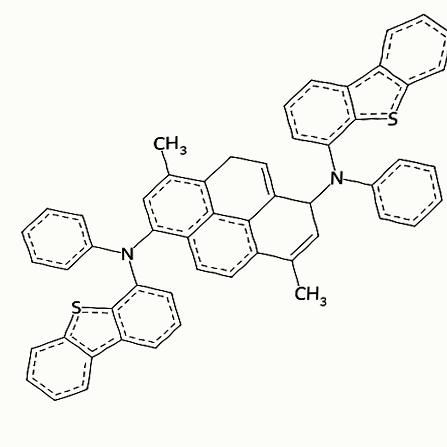 CC1=CC(N(c2ccccc2)c2cccc3c2sc2ccccc23)C2=CCc3c(C)cc(N(c4ccccc4)c4cccc5c4sc4ccccc45)c4ccc1c2c34